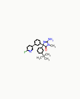 CN1C(=O)C(c2cccc(-c3ccc(F)nc3)c2)(c2cccc([Si](C)(C)C)c2)N=C1N